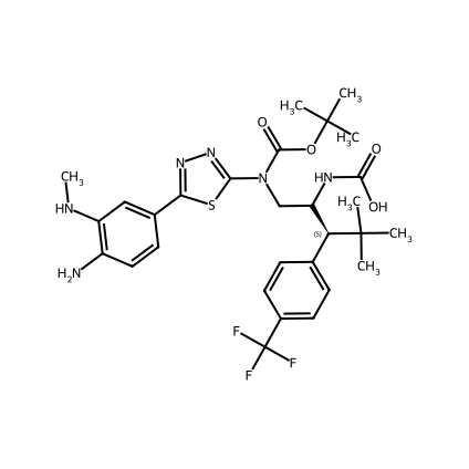 CNc1cc(-c2nnc(N(CC(NC(=O)O)[C@H](c3ccc(C(F)(F)F)cc3)C(C)(C)C)C(=O)OC(C)(C)C)s2)ccc1N